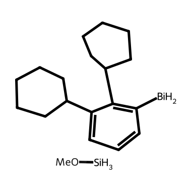 CO[SiH3].[BiH2][c]1cccc(C2CCCCC2)c1C1CCCCC1